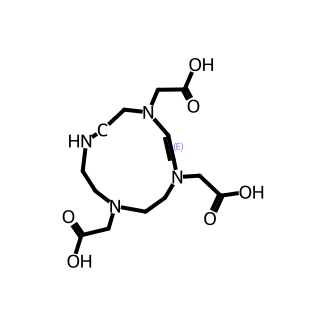 O=C(O)CN1/C=C/N(CC(=O)O)CCN(CC(=O)O)CCNCC1